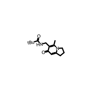 Cc1c(CNC(=O)C(C)(C)C)c(=O)cc2n1CCC2